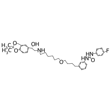 CC1(C)OCc2cc([C@H](O)CNCCCCCCOCCCCc3cccc(NC(=O)Nc4ccc(F)cc4)c3)ccc2O1